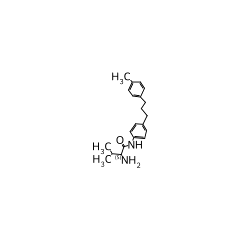 Cc1ccc(CCCc2ccc(NC(=O)[C@@H](N)C(C)C)cc2)cc1